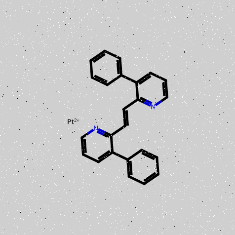 C(=Cc1ncccc1-c1ccccc1)c1ncccc1-c1ccccc1.[Pt+2]